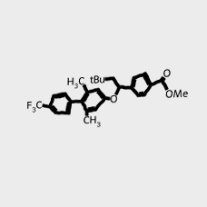 COC(=O)c1ccc(C(CC(C)(C)C)Oc2cc(C)c(-c3ccc(C(F)(F)F)cc3)c(C)c2)cc1